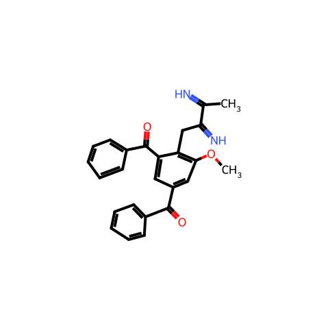 COc1cc(C(=O)c2ccccc2)cc(C(=O)c2ccccc2)c1CC(=N)C(C)=N